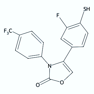 O=c1occ(-c2ccc(S)c(F)c2)n1-c1ccc(C(F)(F)F)cc1